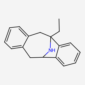 CCC12Cc3ccccc3CC(N1)c1ccccc12